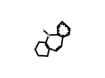 IN1C2=C(C=Cc3ccccc31)CCCC2